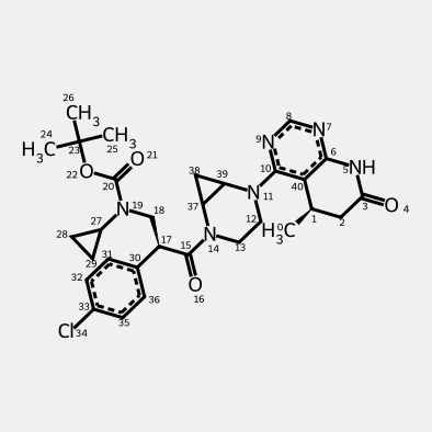 C[C@@H]1CC(=O)Nc2ncnc(N3CCN(C(=O)[C@H](CN(C(=O)OC(C)(C)C)C4CC4)c4ccc(Cl)cc4)C4CC43)c21